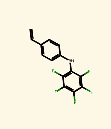 C=Cc1ccc(Bc2c(F)c(F)c(F)c(F)c2F)cc1